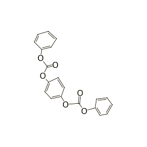 O=C(Oc1ccccc1)Oc1ccc(OC(=O)Oc2ccccc2)cc1